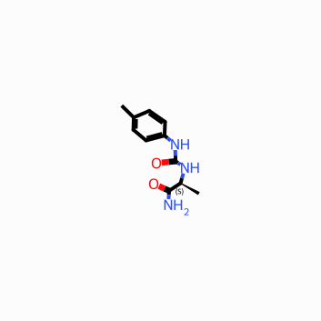 Cc1ccc(NC(=O)N[C@@H](C)C(N)=O)cc1